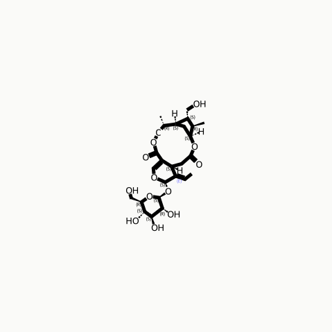 C/C=C1/[C@H](O[C@@H]2O[C@H](CO)[C@@H](O)[C@H](O)[C@H]2O)OC=C2C(=O)OC[C@H](C)[C@@H]3C[C@H](OC(=O)C[C@H]21)[C@H](C)[C@H]3CO